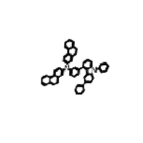 c1ccc2c(c#1)ccc1cc(N(c3cccc(-c4cccc5c4c4cc(-c6ccccc6)ccc4n5-c4ccccc4)c3)c3ccc4c(ccc5ccccc54)c3)ccc12